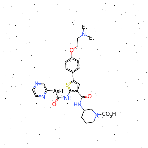 CCN(CC)CCOc1ccc(-c2cc(C(=O)NC3CCCN(C(=O)O)C3)c(NC(=O)[AsH]c3cnccn3)s2)cc1